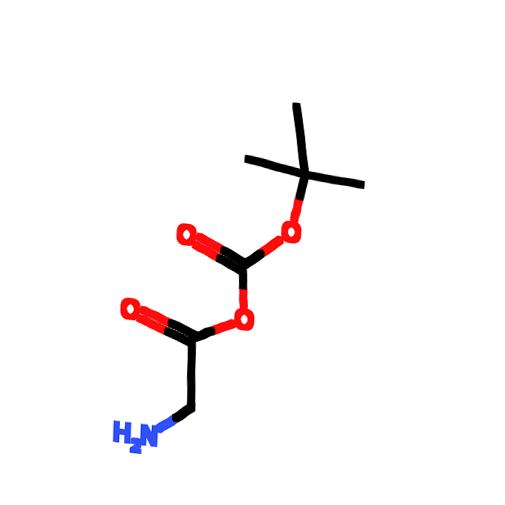 CC(C)(C)OC(=O)OC(=O)CN